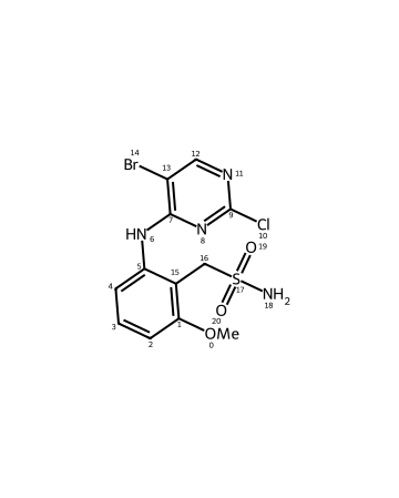 COc1cccc(Nc2nc(Cl)ncc2Br)c1CS(N)(=O)=O